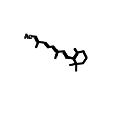 CC(=O)/C=C(C)/C=C/C=C(C)/C=C/C1=C(C)CCCC1(C)C